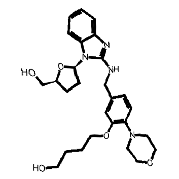 OCCCCOc1cc(CNc2nc3ccccc3n2[C@H]2CC[C@@H](CO)O2)ccc1N1CCOCC1